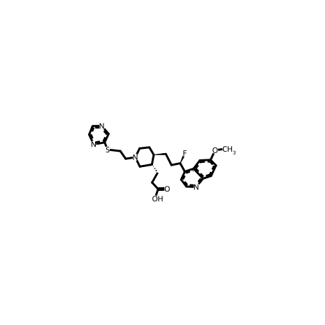 COc1ccc2nccc([C@H](F)CC[C@@H]3CCN(CCSc4cnccn4)C[C@H]3CCC(=O)O)c2c1